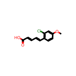 COc1ccc(/C=C/C=C/C(=O)O)c(Cl)c1